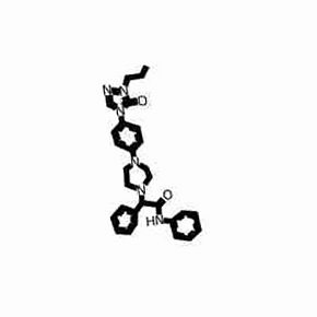 CCCn1ncn(-c2ccc(N3CCN(C(C(=O)Nc4ccccc4)c4ccccc4)CC3)cc2)c1=O